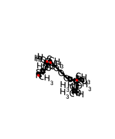 CCN(c1cc(-c2ccc(OCCCOCCCOCC(=O)NC(C(=O)N3C[C@H](O)C[C@H]3C(=O)NCc3ccc(-c4scnc4C)cc3)C(C)(C)C)cc2)cc(C(=O)NCc2c(C)cc(C)[nH]c2=O)c1C)C1CCOCC1